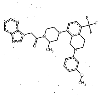 COc1cccc(N2CCc3c(C(F)(F)F)ccc(N4CCN(C(=O)Cn5cnc6cccnc65)C(C)C4)c3C2)c1